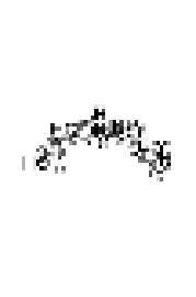 COc1ncccc1CCOc1cccc2[nH]c(C(=O)NC3CCC(O)(CCN4CC[C@H](O)[C@@H](C)C4)CC3)cc12